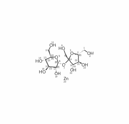 OC[C@H]1O[C@@](CO)(O[C@H]2O[C@H](CO)[C@@H](O)[C@H](O)[C@H]2O)[C@@H](O)[C@@H]1O.[Zn]